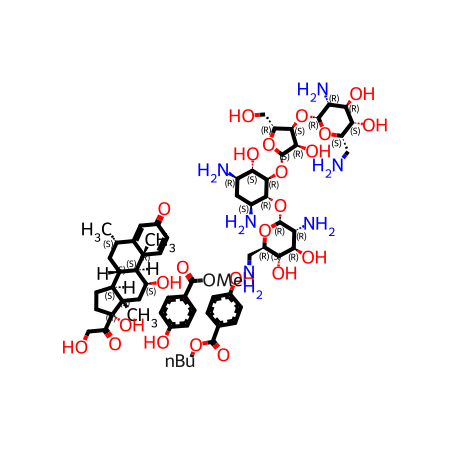 CCCCOC(=O)c1ccc(O)cc1.COC(=O)c1ccc(O)cc1.C[C@H]1C[C@@H]2[C@H]([C@@H](O)C[C@@]3(C)[C@H]2CC[C@]3(O)C(=O)CO)[C@@]2(C)C=CC(=O)C=C12.NC[C@@H]1O[C@H](O[C@H]2[C@@H](O)[C@H](O[C@@H]3[C@@H](O)[C@H](N)C[C@H](N)[C@H]3O[C@H]3O[C@H](CN)[C@@H](O)[C@H](O)[C@H]3N)O[C@@H]2CO)[C@H](N)[C@@H](O)[C@@H]1O